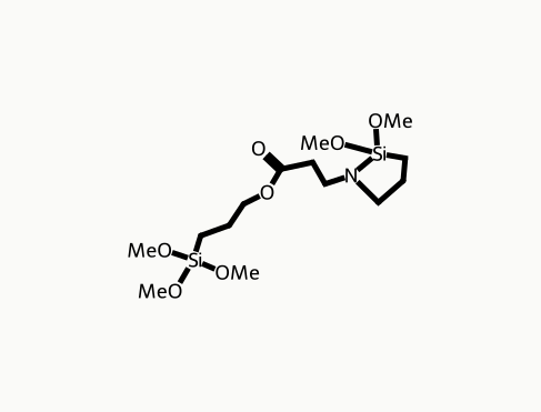 CO[Si](CCCOC(=O)CCN1CCC[Si]1(OC)OC)(OC)OC